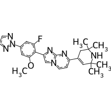 COc1cc(-n2nccn2)cc(F)c1-c1cn2ccc(C3=CC(C)(C)NC(C)(C)C3)nc2n1